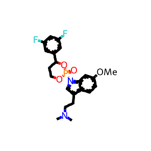 COc1ccc2c(CCN(C)C)cn(P3(=O)OCCC(c4cc(F)cc(F)c4)O3)c2c1